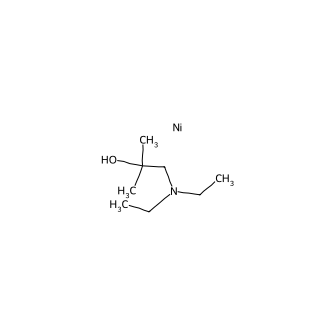 CCN(CC)CC(C)(C)O.[Ni]